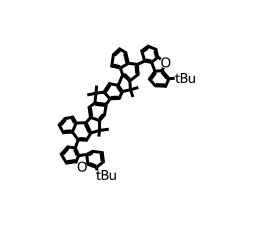 CC(C)(C)c1cccc2c1oc1cccc(-c3cc4c(c5ccccc35)-c3cc5c(cc3C4(C)C)-c3cc4c(cc3C5(C)C)-c3c(cc(-c5cccc6oc7c(C(C)(C)C)cccc7c56)c5ccccc35)C4(C)C)c12